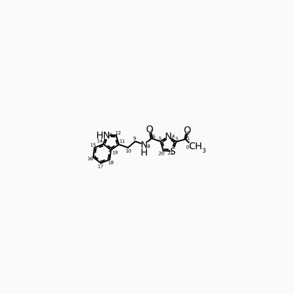 CC(=O)c1nc(C(=O)NCCc2c[nH]c3ccccc23)cs1